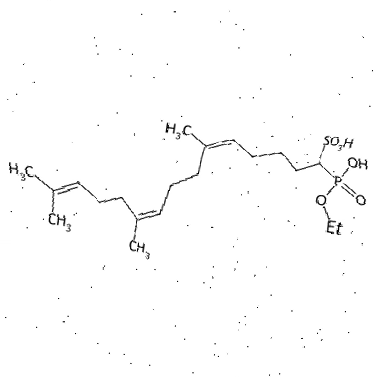 CCOP(=O)(O)C(CCCC=C(C)CCC=C(C)CCC=C(C)C)S(=O)(=O)O